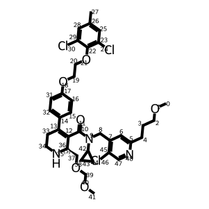 COCCCc1cc(CN(C(=O)C2=C(c3ccc(OCCOc4c(Cl)cc(C)cc4Cl)cc3)CCN[C@@H]2COCOC)C2CC2)c(Cl)cn1